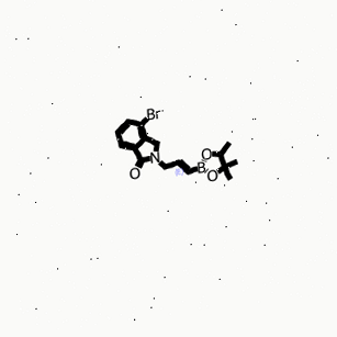 CC1OB(/C=C/CN2Cc3c(Br)cccc3C2=O)OC1(C)C